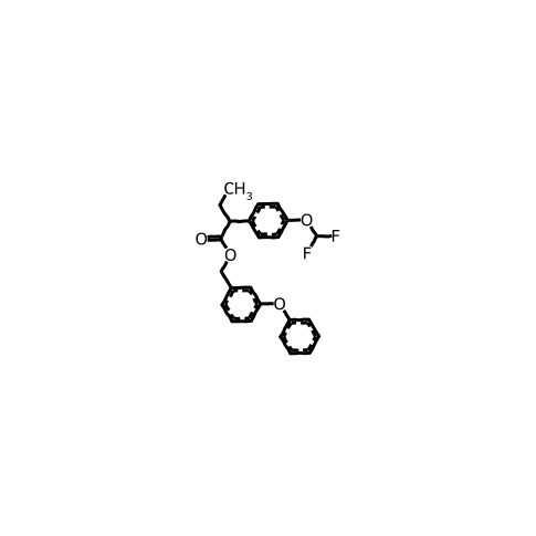 CCC(C(=O)OCc1cccc(Oc2ccccc2)c1)c1ccc(OC(F)F)cc1